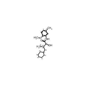 COc1ccc(C)cc1NC(=O)C(O)[C@H](N)CC1CCCCC1